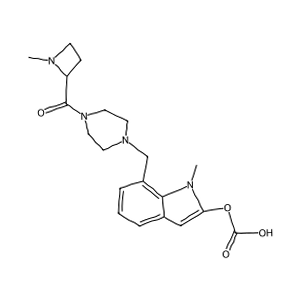 CN1CCC1C(=O)N1CCN(Cc2cccc3cc(OC(=O)O)n(C)c23)CC1